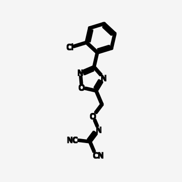 N#CC(C#N)=NOCc1nc(-c2ccccc2Cl)no1